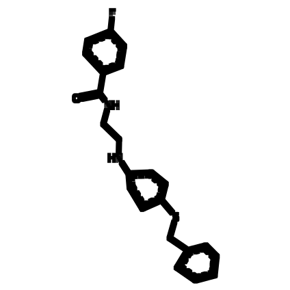 O=C(NCCNc1ccc(SCc2ccccc2)cc1)c1ccc(F)cc1